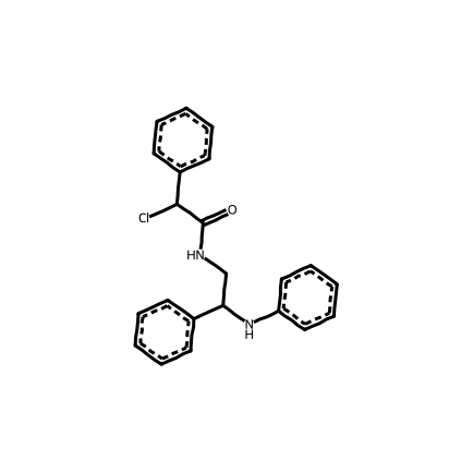 O=C(NCC(Nc1ccccc1)c1ccccc1)C(Cl)c1ccccc1